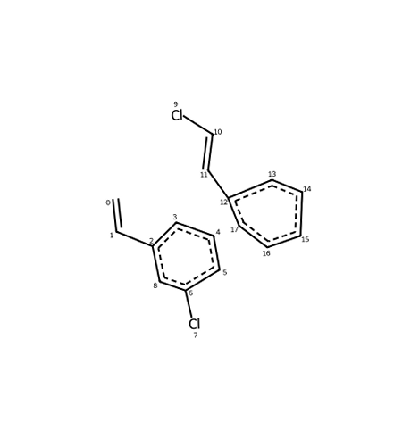 C=Cc1cccc(Cl)c1.ClC=Cc1ccccc1